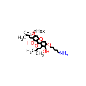 CCCCCCOc1cc2oc3cc(OCCCCCN)c(CO)c(CC=C(C)C)c3c(=O)c2c(O)c1CC=C(C)C